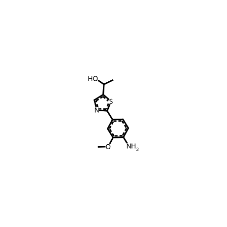 COc1cc(-c2ncc(C(C)O)s2)ccc1N